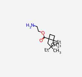 CCC(C)(C)CC1(C(=O)OCCN)CCC1(C)CC